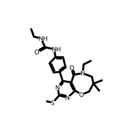 CCNC(=O)Nc1ccc(-c2nc(SC)nc3c2C(=O)N(CC)CC(C)(C)CO3)cc1